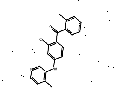 Cc1ccncc1Nc1ccc(C(=O)c2ccccc2C)c(Cl)c1